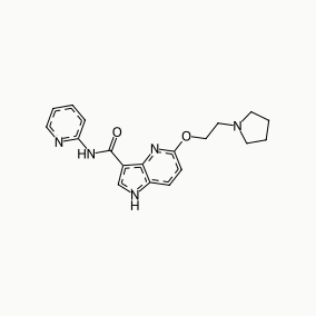 O=C(Nc1ccccn1)c1c[nH]c2ccc(OCCN3CCCC3)nc12